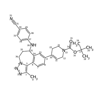 Cc1nnn2c1-c1ccc(C3=CCN(C(=O)OC(C)(C)C)CC3)cc1C(Nc1ccc(C#N)cc1)CC2